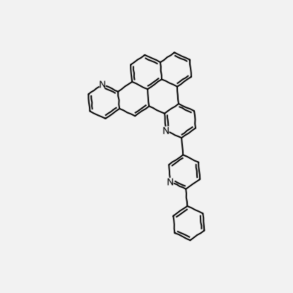 c1ccc(-c2ccc(-c3ccc4c5cccc6ccc7c8ncccc8cc(c4n3)c7c65)cn2)cc1